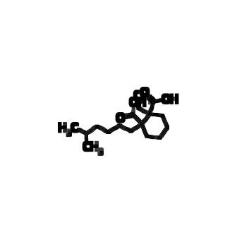 CCC1(C(=O)O)CCCCC1(CCCCC(C)C)C(=O)O